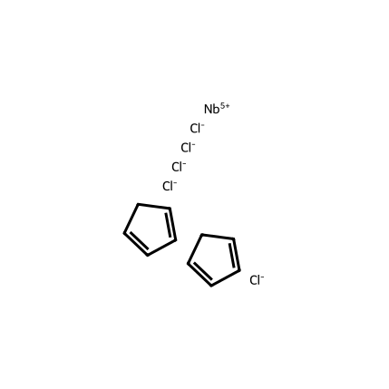 C1=CCC=C1.C1=CCC=C1.[Cl-].[Cl-].[Cl-].[Cl-].[Cl-].[Nb+5]